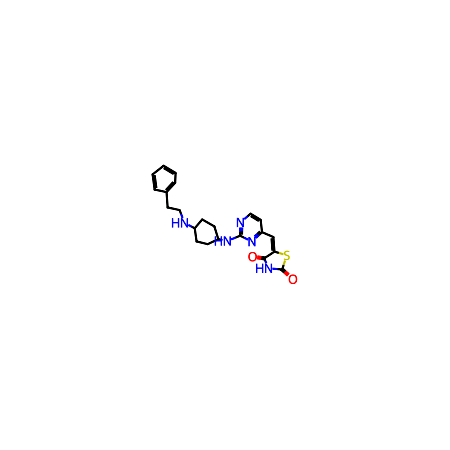 O=C1NC(=O)/C(=C\c2ccnc(NC3CCC(NCCc4ccccc4)CC3)n2)S1